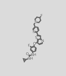 O=C(Nc1ccc(Oc2ccnc3cc(-c4ccc(CN5CCC(F)CC5)cn4)sc23)c(F)c1)NC1CC1